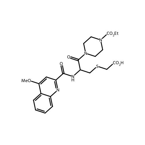 CCOC(=O)N1CCN(C(=O)C(CSCC(=O)O)NC(=O)c2cc(OC)c3ccccc3n2)CC1